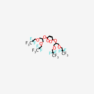 O=C(/C=C\C(=O)OC(COCC(F)(F)C(F)(F)F)COCC(F)(F)C(F)(F)F)OC(COCC(F)(F)C(F)(F)F)COCC(F)(F)C(F)(F)F